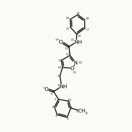 Cc1cccc(C(=O)NCc2cc(C(=O)Nc3ccccc3)no2)c1